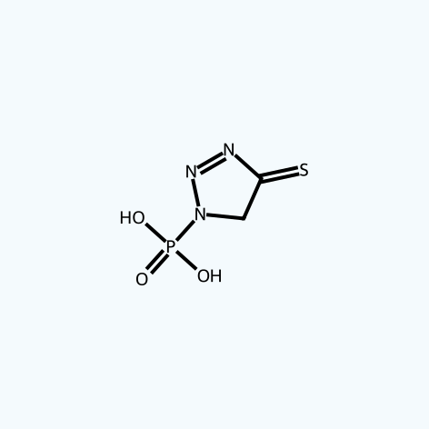 O=P(O)(O)N1CC(=S)N=N1